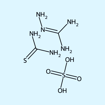 NC(N)=S.NN=C(N)N.O=S(=O)(O)O